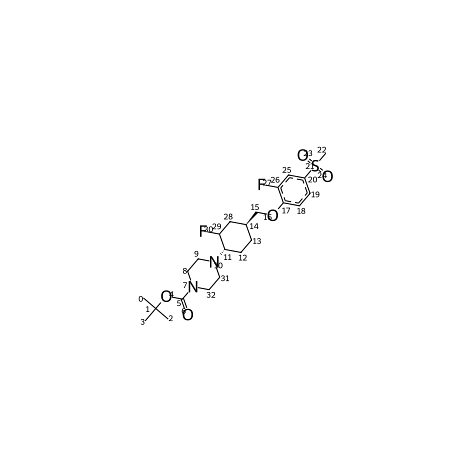 CC(C)(C)OC(=O)N1CCN([C@H]2CC[C@H](COc3ccc(S(C)(=O)=O)cc3F)CC2F)CC1